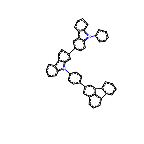 c1ccc(-n2c3ccccc3c3cc(-c4ccc5c6ccccc6n(-c6ccc(-c7cc8c9c(cccc9c7)-c7ccccc7-8)cc6)c5c4)ccc32)cc1